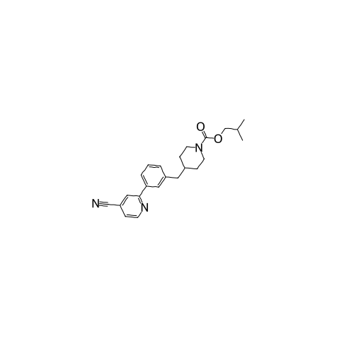 CC(C)COC(=O)N1CCC(Cc2cccc(-c3cc(C#N)ccn3)c2)CC1